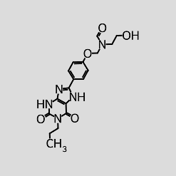 CCCn1c(=O)[nH]c2nc(-c3ccc(OCN(C=O)CCO)cc3)[nH]c2c1=O